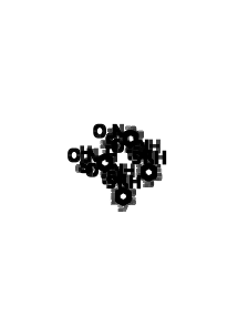 C[SiH](C)Oc1c([N+](=O)[O-])ccc(NC(=S)Nc2ccccc2)c1C(C)(C)C.C[SiH](C)Oc1c([N+](=O)[O-])ccc(NC(=S)Nc2ccccc2)c1C(C)(C)C